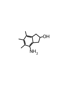 Cc1c(C)c(N)c2c(c1C)CC(O)C2